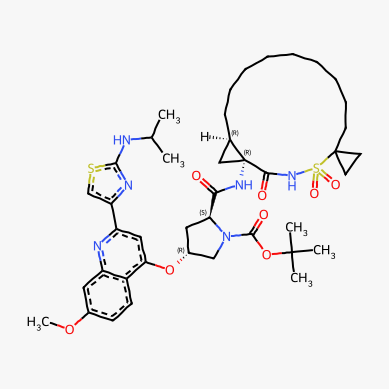 COc1ccc2c(O[C@@H]3C[C@@H](C(=O)N[C@]45C[C@H]4CCCCCCCCCC4(CC4)S(=O)(=O)NC5=O)N(C(=O)OC(C)(C)C)C3)cc(-c3csc(NC(C)C)n3)nc2c1